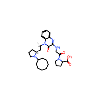 C[C@@H](C[C@@H]1CCCN1C1CCCCCCC1)n1c(=O)c(NCC(=O)N2CCCC2C(=O)O)nc2ccccc21